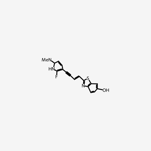 CNC1C=CC(C#C/C=C/c2nc3ccc(O)cc3s2)=C(F)N1